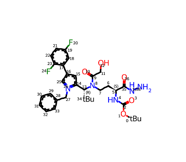 CC(C)(C)OC(=O)N[C@@H](CCN(C(=O)CO)[C@@H](c1cc(-c2cc(F)ccc2F)cn1Cc1ccccc1)C(C)(C)C)C(=O)NN